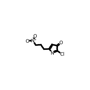 O=C1C=C(CCC[N+](=O)[O-])N=C1Cl